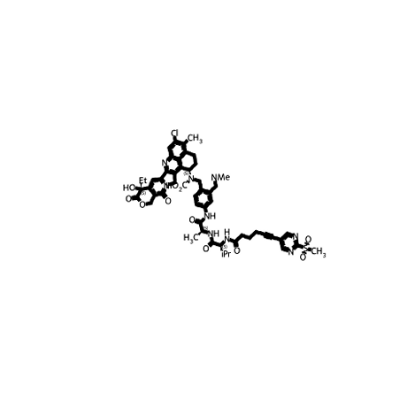 CC[C@@]1(O)C(=O)OCc2c1cc1n(c2=O)Cc2c-1nc1cc(Cl)c(C)c3c1c2[C@@H](N(Cc1ccc(NC(=O)[C@H](C)NC(=O)[C@@H](NC(=O)CCCC#Cc2cnc(S(C)(=O)=O)nc2)C(C)C)cc1CNC)C(=O)O)CC3